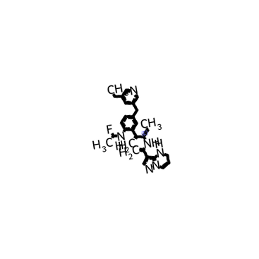 C=C(/C(=C\C)NC(=C)c1cnn2c1NCC=C2)c1cc(Cc2cncc(CC)c2)ccc1NC(C)F